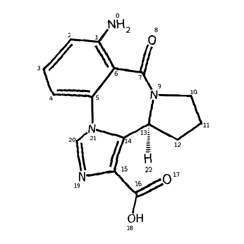 Nc1cccc2c1C(=O)N1CCC[C@H]1c1c(C(=O)O)ncn1-2